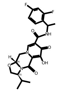 CC(NC(=O)c1cn2c(c(O)c1=O)C(=O)N1[C@@H](C(C)C)CO[C@@H]1C2)c1ccc(F)cc1F